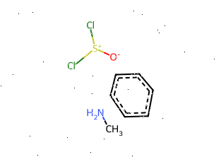 CN.[O-][S+](Cl)Cl.c1ccccc1